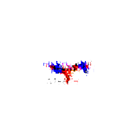 COC1C(O)C(CO[P@](=O)(S)OC2C(COP(=O)(O)OC)OC(n3cnc4c(=O)[nH]c(N)nc43)C2OC)OC1n1cnc2c(=O)[nH]c(N)nc21